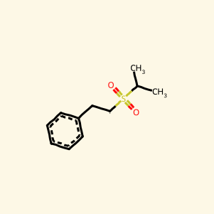 CC(C)S(=O)(=O)[CH]Cc1ccccc1